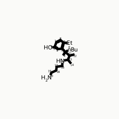 CCCCC(C)(c1cc(O)ccc1CC)C(C)C(C)NCCCCN